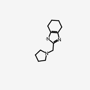 C1CCC2=C(C1)[N]C(CN1CCCC1)=N2